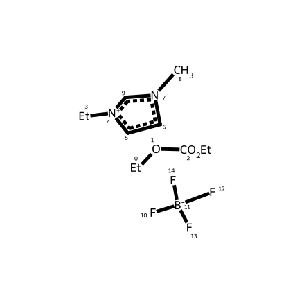 CCOC(=O)OCC.CC[n+]1ccn(C)c1.F[B-](F)(F)F